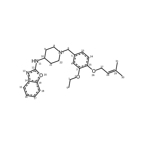 CCOc1cc(CN2CCC(Nc3nc4ccccc4o3)CC2)ccc1OCC=C(C)C